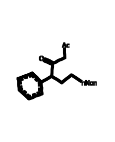 CCCCCCCCCCCC(C(=O)CC(C)=O)c1ccccc1